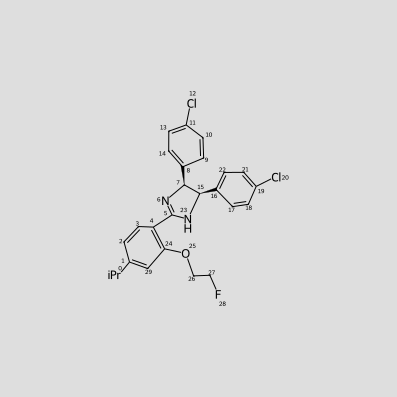 CC(C)c1ccc(C2=N[C@@H](c3ccc(Cl)cc3)[C@@H](c3ccc(Cl)cc3)N2)c(OCCF)c1